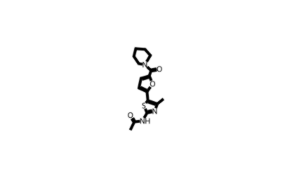 CC(=O)Nc1nc(C)c(-c2ccc(C(=O)N3CCCCC3)o2)s1